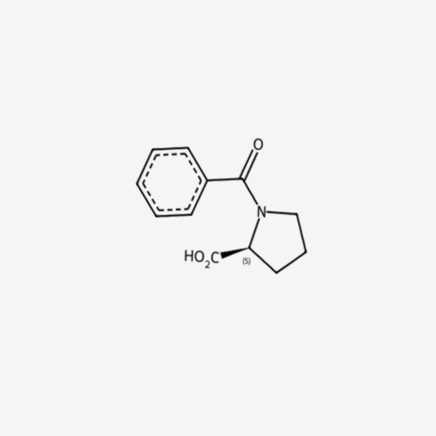 O=C(O)[C@@H]1CCCN1C(=O)c1ccccc1